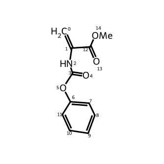 C=C(NC(=O)Oc1ccccc1)C(=O)OC